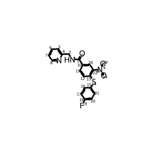 O=C(NCc1ccccn1)c1ccc(Sc2ccc(F)cc2)c([N+](=O)[O-])c1